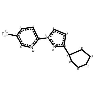 FC(F)(F)c1ccc(-n2c[c]c(C3CCCCC3)n2)nc1